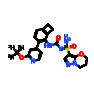 [2H]C([2H])([2H])Oc1cc(-c2ccc3c(c2NC(=O)N=[S@@](N)(=O)c2cnn4c2OCCC4)CC3)ccn1